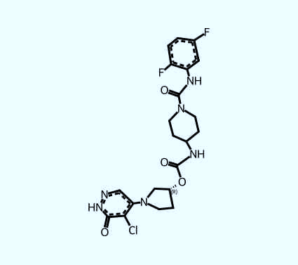 O=C(NC1CCN(C(=O)Nc2cc(F)ccc2F)CC1)O[C@@H]1CCN(c2cn[nH]c(=O)c2Cl)C1